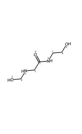 O=C(CNCO)NCCO